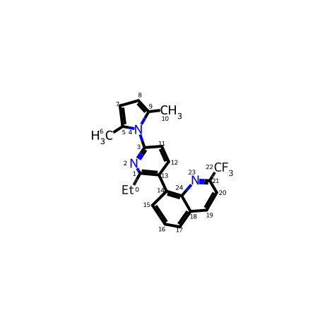 CCc1nc(-n2c(C)ccc2C)ccc1-c1cccc2ccc(C(F)(F)F)nc12